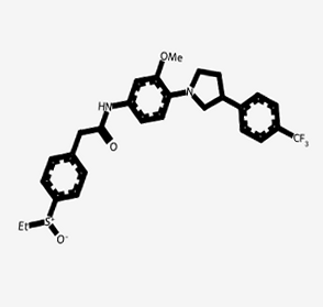 CC[S+]([O-])c1ccc(CC(=O)Nc2ccc(N3CCC(c4ccc(C(F)(F)F)cc4)C3)c(OC)c2)cc1